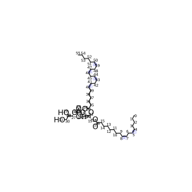 CCCC/C=C\C/C=C\CCCCCCCC(=O)OC[C@H](COP(=O)(O)OC[C@@H](O)CO)OC(=O)CCCCC/C=C\C/C=C\C/C=C\C/C=C\CCCCC